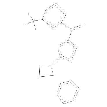 O=C(c1cccc(C(F)(F)F)c1)c1cnc(N2CC[C@H]2c2cccnc2)s1